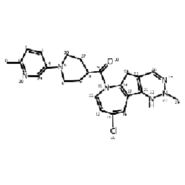 Cc1ccc(N2CCC(C(=O)N3C=CC(Cl)=CC4=C3CC3=C4NN(C)N=C3)CC2)cn1